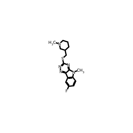 CN1CCCC(CSc2nnc3c4cc(F)ccc4n(C)c3n2)C1